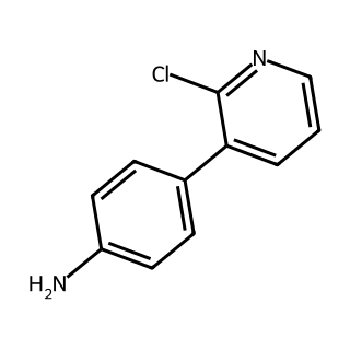 Nc1ccc(-c2cccnc2Cl)cc1